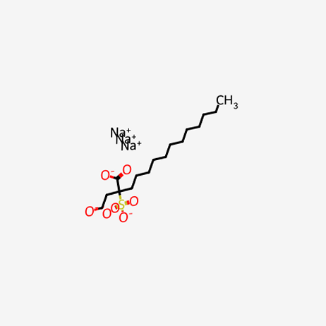 CCCCCCCCCCCCC(CC(=O)[O-])(C(=O)[O-])S(=O)(=O)[O-].[Na+].[Na+].[Na+]